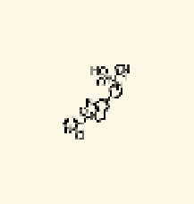 Cn1nccc1N(C(=O)O)c1cc(-c2cc(F)c3c(c2)CCN3C(=O)Cc2cccnc2Cl)ccn1